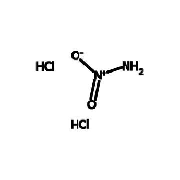 Cl.Cl.N[N+](=O)[O-]